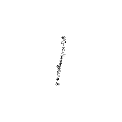 O=C(CSCSCSCC[S+]([O-])CSCSCSCSC(=O)CSCSCSCCOOCCO)OCCO